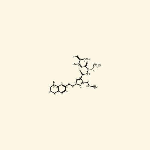 C=C(/C=C(F)\C(=C/C)OC)[C@H](CC(=O)OCC)NC(=O)c1cn(CCc2ccc3c(n2)NCCC3)nc1COC(C)(C)C